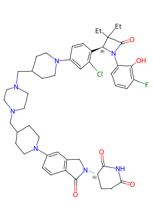 CCC1(CC)C(=O)N(c2cccc(F)c2O)[C@H]1c1ccc(N2CCC(CN3CCN(CC4CCN(c5ccc6c(c5)CN([C@H]5CCC(=O)NC5=O)C6=O)CC4)CC3)CC2)cc1Cl